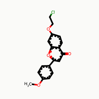 COc1ccc(-c2cc(=O)c3ccc(OCCCl)cc3o2)cc1